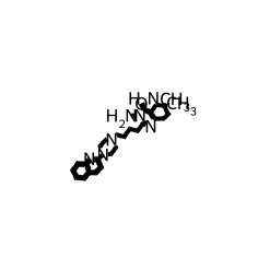 CC1(C)CCc2nc(CCCCN3CCN(c4ccc5ccccc5n4)CC3)n(N)c(=O)c2C1N